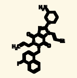 C=CCn1c(=O)c2nc(N3CCCC(N)C3)n(/C=C/CC)c2c(=O)n1Cc1ccc(F)c2ccccc12